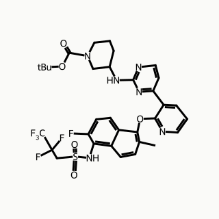 Cc1ccc2c(NS(=O)(=O)CC(F)(F)C(F)(F)F)c(F)ccc2c1Oc1ncccc1-c1ccnc(NC2CCCN(C(=O)OC(C)(C)C)C2)n1